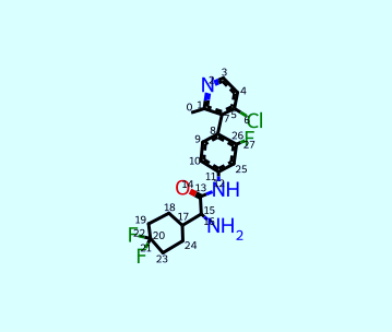 Cc1nccc(Cl)c1-c1ccc(NC(=O)C(N)C2CCC(F)(F)CC2)cc1F